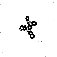 S=P(c1ccc2ccccc2c1)(c1ccc2ccccc2c1)c1ccc2c3ccccc3n3c4ccccc4nc3c2c1